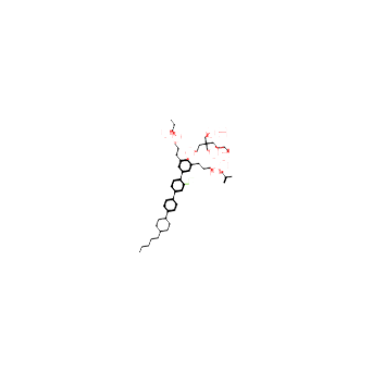 C=C(C)C(=O)OCCCc1cc(-c2ccc(-c3ccc(C4CCC(CCCCC)CC4)cc3)cc2F)cc(CCCOC(=O)CC)c1OCCC(CO)(CO)CCCC